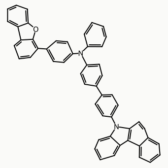 c1ccc(N(c2ccc(-c3ccc(-n4c5ccccc5c5c6ccccc6ccc54)cc3)cc2)c2ccc(-c3cccc4c3oc3ccccc34)cc2)cc1